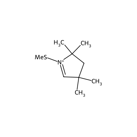 CS[N+]1=CC(C)(C)CC1(C)C